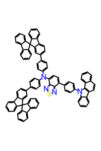 c1ccc2c(c1)-c1ccccc1C21c2ccccc2-c2ccc(-c3ccc(N(c4ccc(-c5ccc6c(c5)C5(c7ccccc7-c7ccccc75)c5ccccc5-6)cc4)c4ccc(-c5ccc(-n6c7ccccc7c7ccc8ccccc8c76)cc5)c5nsnc45)cc3)cc21